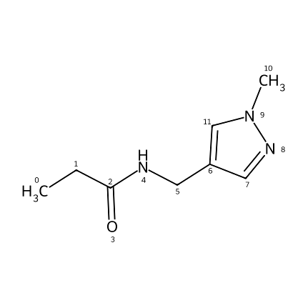 CCC(=O)NCc1cnn(C)c1